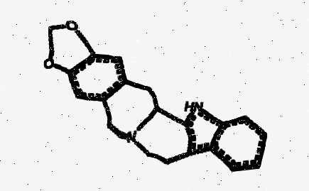 c1ccc2c3c([nH]c2c1)C1Cc2cc4c(cc2CN1CC3)OCO4